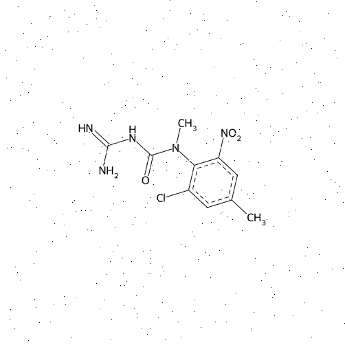 Cc1cc(Cl)c(N(C)C(=O)NC(=N)N)c([N+](=O)[O-])c1